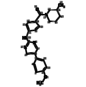 COc1ccc(-c2cnc(Nc3ccc(C(=O)N4CCCC(C)C4)cc3)nc2)cc1